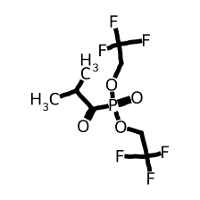 CC(C)C(=O)P(=O)(OCC(F)(F)F)OCC(F)(F)F